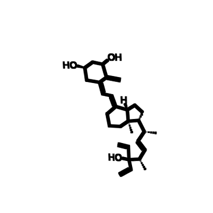 C=CC(O)(C=C)[C@@H](C)/C=C/[C@@H](C)[C@H]1CC[C@H]2/C(=C/C=C3/C[C@@H](O)CC(O)C3=C)CCC[C@]12C